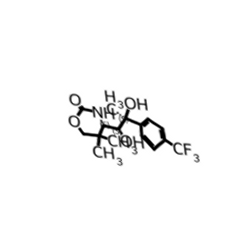 CC1(C)COC(=O)N[C@@H]1[C@H](O)[C@@](C)(O)c1ccc(C(F)(F)F)cc1